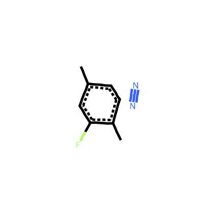 Cc1ccc(C)c(F)c1.N#N